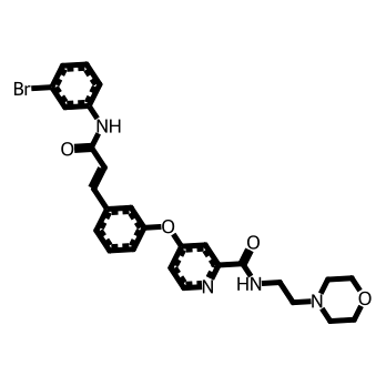 O=C(C=Cc1cccc(Oc2ccnc(C(=O)NCCN3CCOCC3)c2)c1)Nc1cccc(Br)c1